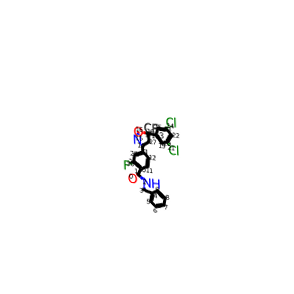 O=C(NCc1ccccc1)c1ccc(C2=NOC(c3cc(Cl)cc(Cl)c3)(C(F)(F)F)C2)cc1F